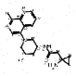 Cc1ncc(N2C[C@@H](C)C[C@@H](NC(=O)CC3(N)CC3)C2)c2cccnc12